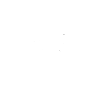 CC(C)C[C@@H](CCC(=O)O)NC(=O)c1ccc2c(c1)nc(Cc1cccs1)n2[C@@H]1CCCC[C@H]1C